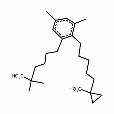 Cc1cc(C)c(CCCCCC2(C(=O)O)CC2)c(CCCCC(C)(C)C(=O)O)c1